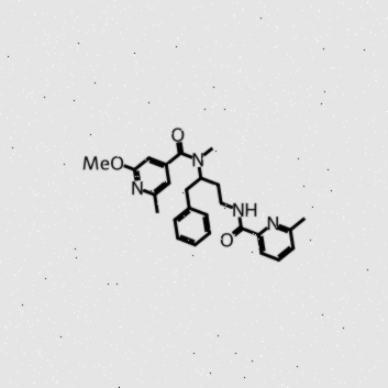 COc1cc(C(=O)N(C)C(CCNC(=O)c2cccc(C)n2)Cc2ccccc2)cc(C)n1